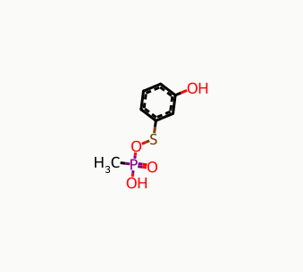 CP(=O)(O)OSc1cccc(O)c1